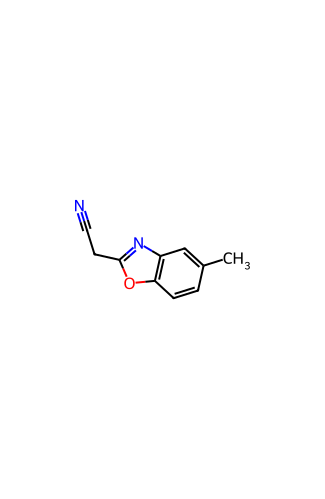 Cc1ccc2oc(CC#N)nc2c1